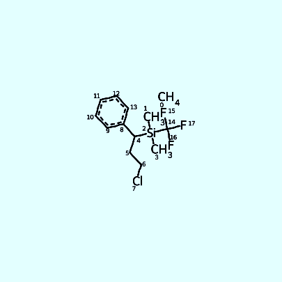 C.C[Si](C)(C(CCCl)c1ccccc1)C(F)(F)F